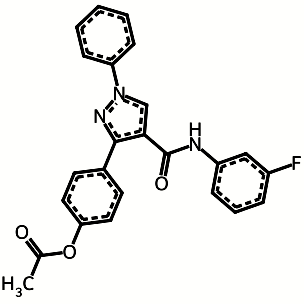 CC(=O)Oc1ccc(-c2nn(-c3ccccc3)cc2C(=O)Nc2cccc(F)c2)cc1